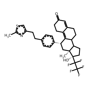 Cc1nc(CCc2ccc([C@H]3C[C@@]4(C)C(CC[C@@]4(O)C(F)(F)C(F)(F)F)C4CCC5=CC(=O)CCC5=C43)cc2)cs1